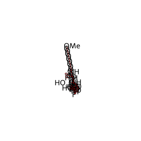 CC[C@@]1(O)C(=O)OCc2c1cc1n(c2=O)Cc2c-1nc1cc(F)c(C)c3c1c2[C@@H](NC(=O)[C@H](C)NC(=O)[C@H](C)NC(=O)[C@H](C)NC(=O)[C@H](CCC(=O)O)NC(=O)CCCNC(=O)[C@H](CCCCNC(=O)COCCOCCOCCOCCOCCOCCOCCOCCOCCOC)NC(=O)OCC1c2ccccc2-c2ccccc21)CC3